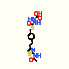 CC(=O)Nc1nc(CCc2ccc(CSC(=O)NNC(=O)O)cc2)cs1